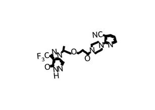 CC(COCCC(=O)N1CCN(c2ncccc2C#N)CC1)n1nc(C(F)(F)F)c2c(=O)[nH]ncc21